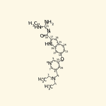 CCN(CC)Cc1cncc(Oc2ccc3cc(C(=O)N=C(N)NC)[nH]c3c2)c1